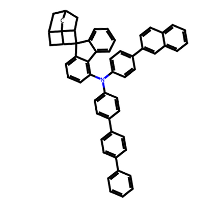 c1ccc(-c2ccc(-c3ccc(N(c4ccc(-c5ccc6ccccc6c5)cc4)c4cccc5c4-c4ccccc4C54C5CC6CC7CC4C75C6)cc3)cc2)cc1